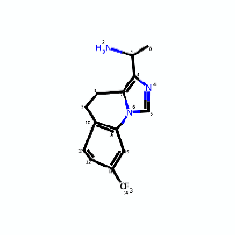 CC(N)c1ncn2c1CCc1ccc(C(F)(F)F)cc1-2